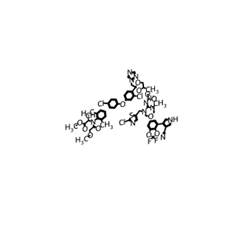 CC1COC(Cn2cncn2)(c2ccc(Oc3ccc(Cl)cc3)cc2Cl)O1.CN1COCN(Cc2cnc(Cl)s2)/C1=N/[N+](=O)[O-].COCC(=O)N(c1c(C)cccc1C)[C@H](C)C(=O)OC.N#Cc1c[nH]cc1-c1cccc2c1OC(F)(F)O2